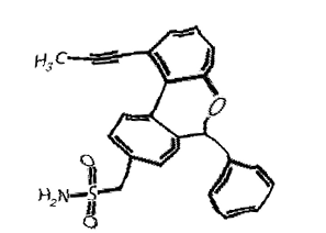 CC#Cc1cccc2c1-c1ccc(CS(N)(=O)=O)cc1C(c1ccccc1)O2